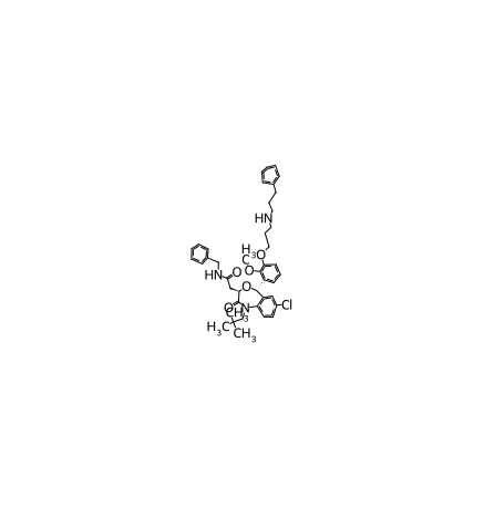 COc1c(OCCCNCCCc2ccccc2)cccc1[C@H]1O[C@H](CC(=O)NCc2ccccc2)C(=O)N(CC(C)(C)C)c2ccc(Cl)cc21